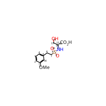 COc1cccc(CCS(=O)(=O)N[C@@H](CO)C(=O)O)c1